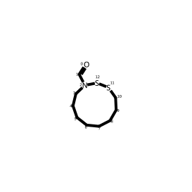 O=[C]N1CCCCCCCCSS1